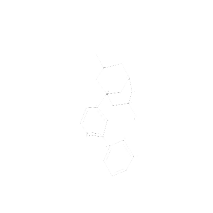 CC1CC2CC(C)CC(c3ccnc(-c4ccccc4)c3)(C1)C2